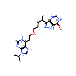 CC(CCCOCCC1NC=Nc2c1ncn2C(C)C)c1n[nH]c2c(=O)[nH]cnc12